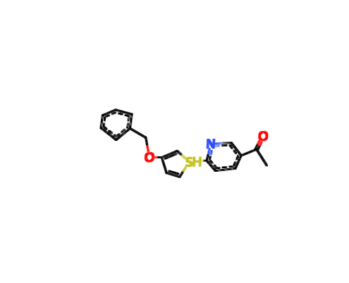 CC(=O)c1ccc([SH]2C=CC(OCc3ccccc3)=C2)nc1